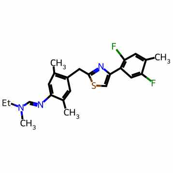 CCN(C)/C=N/c1cc(C)c(Cc2nc(-c3cc(F)c(C)cc3F)cs2)cc1C